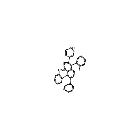 COc1ccccc1-c1c(-c2ccncc2)ccc2c(-c3ccccc3C)c(C3=CCNC=C3)ccc12